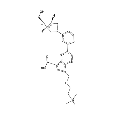 CC(C)(C)C(=O)c1cn(COCC[Si](C)(C)C)c2ncc(-c3cccc(N4C[C@@H]5[C@@H](CO)[C@@H]5C4)c3)nc12